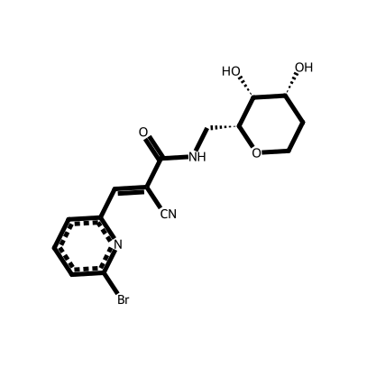 N#C/C(=C\c1cccc(Br)n1)C(=O)NC[C@H]1OCC[C@@H](O)[C@H]1O